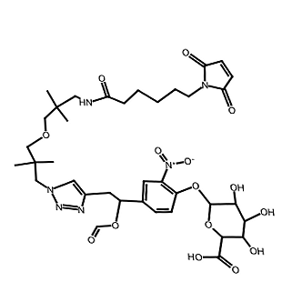 CC(C)(CNC(=O)CCCCCN1C(=O)C=CC1=O)COCC(C)(C)Cn1cc(CC(OC=O)c2ccc(OC3OC(C(=O)O)C(O)C(O)C3O)c([N+](=O)[O-])c2)nn1